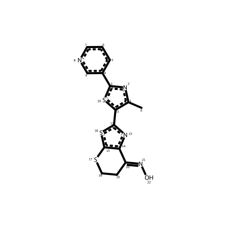 Cc1nc(-c2cccnc2)sc1-c1nc2c(s1)SCC/C2=N\O